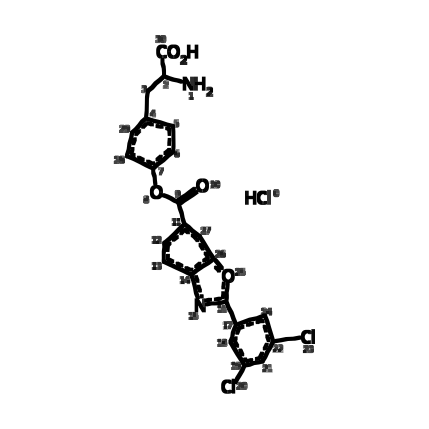 Cl.NC(Cc1ccc(OC(=O)c2ccc3nc(-c4cc(Cl)cc(Cl)c4)oc3c2)cc1)C(=O)O